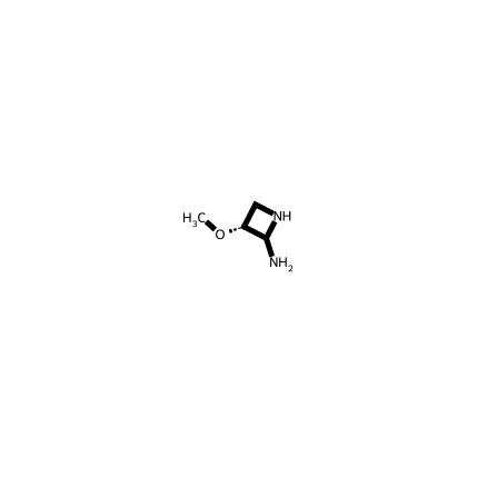 CO[C@@H]1CNC1N